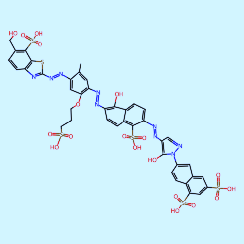 Cc1cc(N=Nc2ccc3c(S(=O)(=O)O)c(N=Nc4cnn(-c5ccc6c(S(=O)(=O)O)cc(S(=O)(=O)O)cc6c5)c4O)ccc3c2O)c(OCCCS(=O)(=O)O)cc1N=Nc1nc2ccc(CO)c(S(=O)(=O)O)c2s1